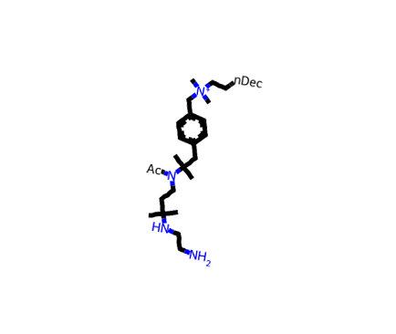 CCCCCCCCCCCC[N+](C)(C)Cc1ccc(CC(C)(C)N(CCC(C)(C)NCCN)C(C)=O)cc1